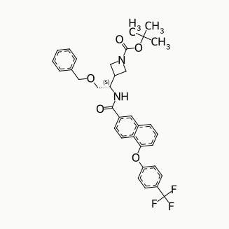 CC(C)(C)OC(=O)N1CC([C@@H](COCc2ccccc2)NC(=O)c2ccc3c(Oc4ccc(C(F)(F)F)cc4)cccc3c2)C1